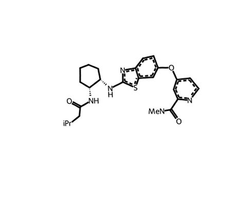 CNC(=O)c1cc(Oc2ccc3nc(N[C@H]4CCCC[C@H]4NC(=O)CC(C)C)sc3c2)ccn1